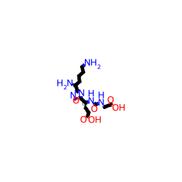 NCCCC[C@H](N)c1noc([C@H](CCC(=O)O)NC(=O)NCC(=O)O)n1